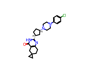 O=c1[nH]c([C@@H]2CC[C@H](N3CCN(c4ccc(Cl)cc4)CC3)C2)nc2c1CC1(CC2)CC1